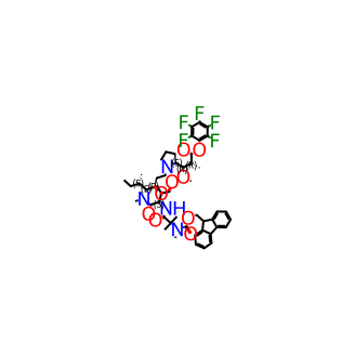 CC[C@H](C)[C@@H]([C@@H](CC(=O)N1CCC[C@H]1[C@H](OC)[C@@H](C)C(=O)Oc1c(F)c(F)c(F)c(F)c1F)OC)N(C)C(=O)[C@@H](NC(=O)C(C)(C)N(C)C(=O)OCC1c2ccccc2-c2ccccc21)C(C)C